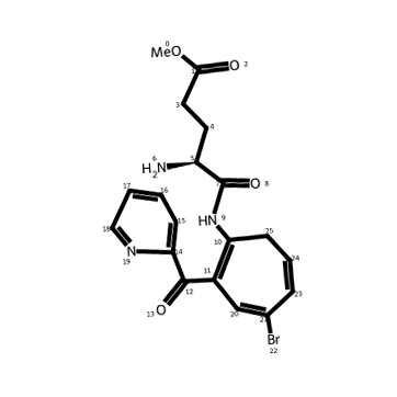 COC(=O)CC[C@H](N)C(=O)NC1=C(C(=O)c2ccccn2)C=C(Br)C=CC1